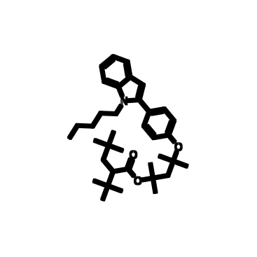 CCCCCn1c(-c2ccc(OC(C)(C)CC(C)(C)OC(=O)C(CC(C)(C)C)C(C)(C)C)cc2)cc2ccccc21